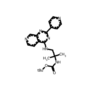 CC(C)(CNc1nc(-c2ccncc2)nc2cnccc12)NC(=O)OC(C)(C)C